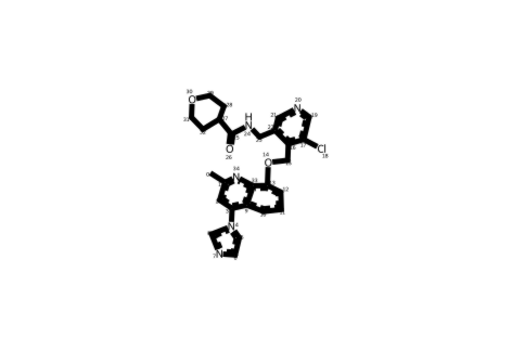 Cc1cc(-n2ccnc2)c2cccc(OCc3c(Cl)cncc3CNC(=O)C3CCOCC3)c2n1